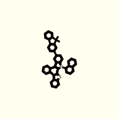 CC1(C)c2ccccc2-c2ccc(-c3ccc4c(c3)c3c5ccccc5c5c6ccccc6sc5c3n4-c3cccc4ccccc34)cc21